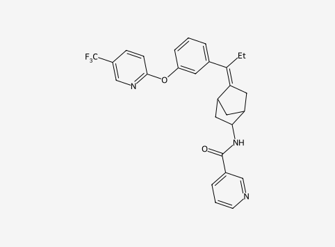 CCC(=C1CC2CC1CC2NC(=O)c1cccnc1)c1cccc(Oc2ccc(C(F)(F)F)cn2)c1